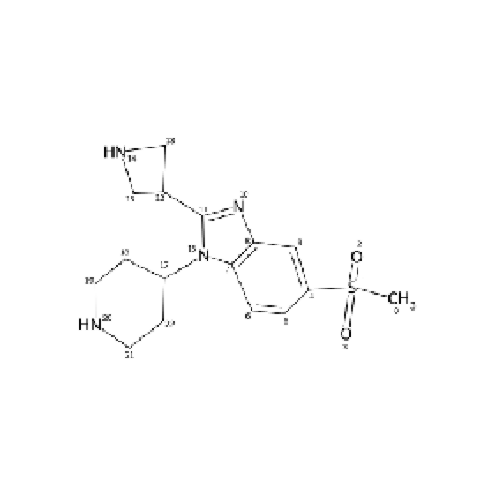 CS(=O)(=O)c1ccc2c(c1)nc(C1CNC1)n2C1CCNCC1